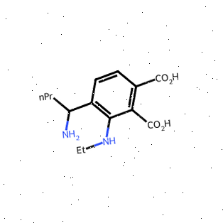 CCCC(N)c1ccc(C(=O)O)c(C(=O)O)c1NCC